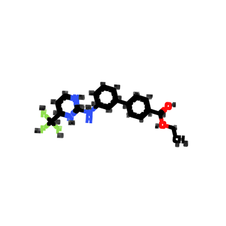 CCOC(=O)c1ccc(-c2cccc(Nc3nccc(C(F)(F)F)n3)c2)cc1